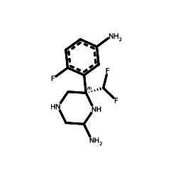 Nc1ccc(F)c([C@]2(C(F)F)CNCC(N)N2)c1